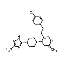 C[C@H]1CN(C2CCN(c3nc(N)n[nH]3)CC2)[C@@H](CCc2ccc(Cl)cc2)CO1